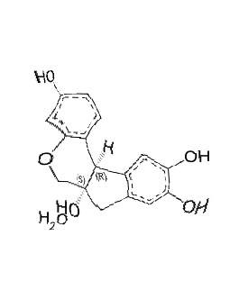 O.Oc1ccc2c(c1)OC[C@]1(O)Cc3cc(O)c(O)cc3[C@H]21